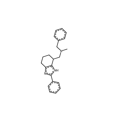 CN(Cc1ccccc1)CC1CCCc2nc(-c3ccccc3)[nH]c21